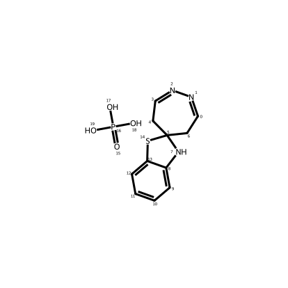 C1=NN=CCC2(C1)Nc1ccccc1S2.O=P(O)(O)O